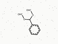 O=COC(OC=O)c1ccccc1